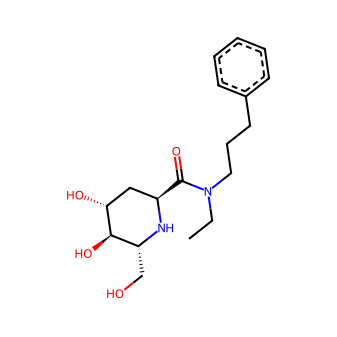 CCN(CCCc1ccccc1)C(=O)[C@@H]1C[C@@H](O)[C@H](O)[C@@H](CO)N1